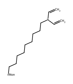 C=CN(C=C)CCCCCCCCCCCCCCCCCC